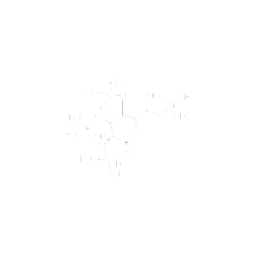 C[Si](C)(C)OCC1OC(=O)C(O[Si](C)(C)C)C(O[Si](C)(C)C)C1O[Si](C)(C)C